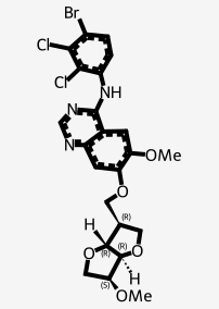 COc1cc2c(Nc3ccc(Br)c(Cl)c3Cl)ncnc2cc1OC[C@H]1CO[C@@H]2[C@@H]1OC[C@@H]2OC